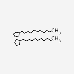 CCCCCCCCCCCC1CCCC1.CCCCCCCCCCCC1CCCC1